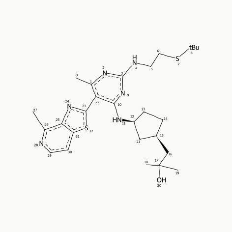 Cc1nc(NCCSC(C)(C)C)nc(N[C@H]2CC[C@@H](CC(C)(C)O)C2)c1-c1nc2c(C)nccc2s1